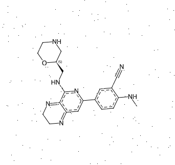 CNc1ccc(-c2cc3c(c(NC[C@@H]4CNCCO4)n2)=NCCN=3)cc1C#N